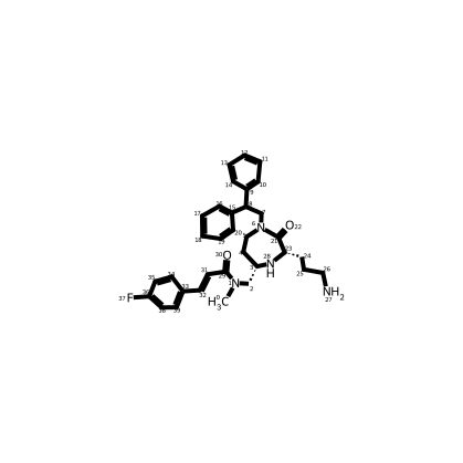 CN(C[C@@H]1CCN(CC(c2ccccc2)c2ccccc2)C(=O)[C@H](CCCN)N1)C(=O)/C=C/c1ccc(F)cc1